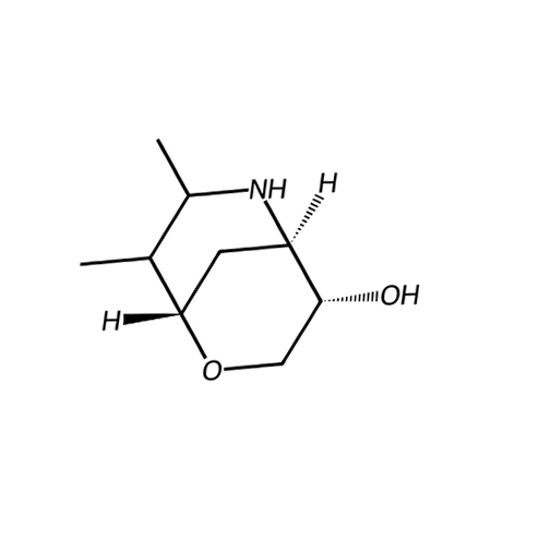 CC1N[C@@H]2C[C@H](OC[C@H]2O)C1C